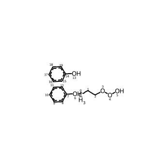 CCCOOO.Oc1ccccc1.Oc1ccccc1